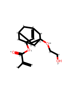 C=C(C)C(=O)OC12C=C3CC(C1)CC(OCCO)(C3)C2